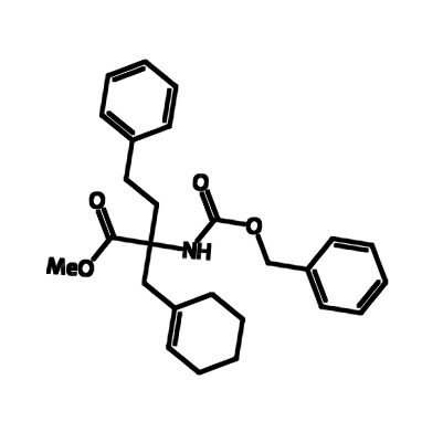 COC(=O)C(CCc1ccccc1)(CC1=CCCCC1)NC(=O)OCc1ccccc1